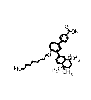 CC1(C)CCC(C)(C)c2cc(-c3cc(-c4ccc(C(=O)O)cc4)ccc3OCCCCCCCCO)ccc21